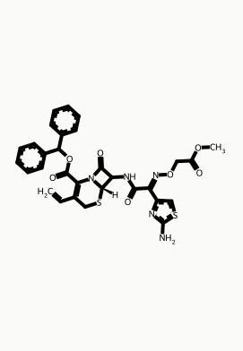 C=CC1=C(C(=O)OC(c2ccccc2)c2ccccc2)N2C(=O)C(NC(=O)C(=NOCC(=O)OC)c3csc(N)n3)[C@@H]2SC1